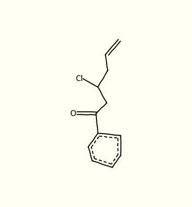 C=CCC(Cl)CC(=O)c1ccccc1